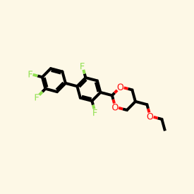 CCOCC1COC(c2cc(F)c(-c3ccc(F)c(F)c3)cc2F)OC1